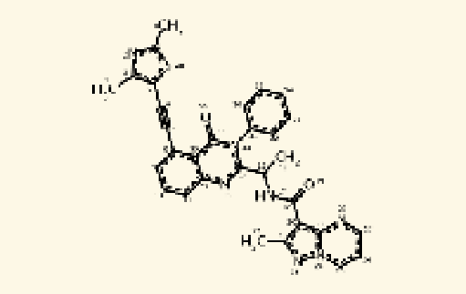 Cc1nc(C)c(C#Cc2cccc3nc(C(C)NC(=O)c4c(C)nn5cccnc45)n(-c4ccccc4)c(=O)c23)s1